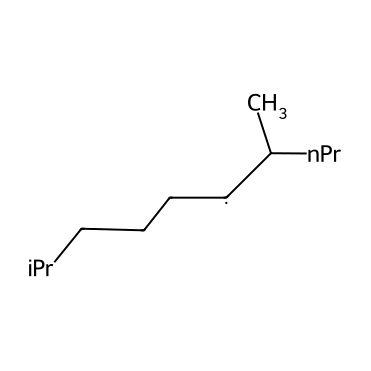 CCCC(C)[CH]CCCC(C)C